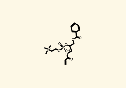 C=CC(=O)OCC(COC(=O)c1ccccc1)OP(=O)(O)OCC[N+](C)(C)C